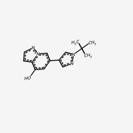 CC(C)(C)n1cc(-c2cc(O)c3ccnn3c2)cn1